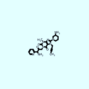 CC#CCn1c(N2CCCC(N)C2)nc2c1c(=O)n(CC(=O)C(N)c1ccccn1)c(=O)n2C